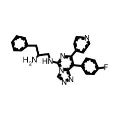 NC(CNc1nc(-c2ccncc2)c(-c2ccc(F)cc2)c2nncn12)Cc1ccccc1